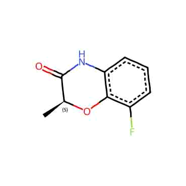 C[C@@H]1Oc2c(F)cccc2NC1=O